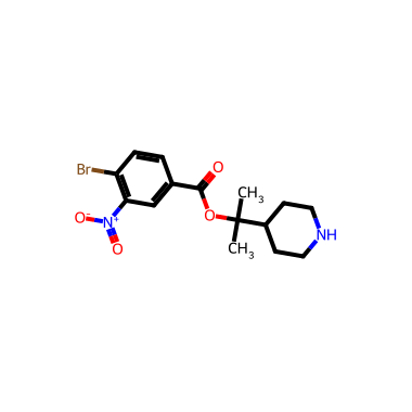 CC(C)(OC(=O)c1ccc(Br)c([N+](=O)[O-])c1)C1CCNCC1